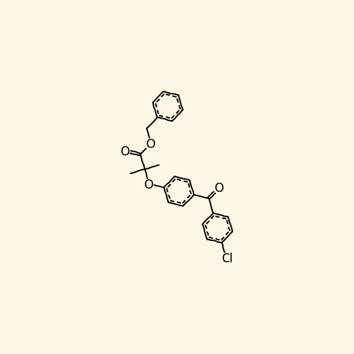 CC(C)(Oc1ccc(C(=O)c2ccc(Cl)cc2)cc1)C(=O)OCc1ccccc1